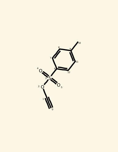 C#COS(=O)(=O)c1ccc(C)cc1